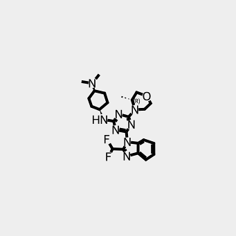 C[C@@H]1COCCN1c1nc(N[C@H]2CC[C@H](N(C)C)CC2)nc(-n2c(C(F)F)nc3ccccc32)n1